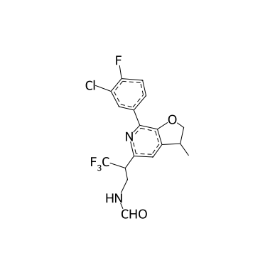 CC1COc2c1cc(C(CNC=O)C(F)(F)F)nc2-c1ccc(F)c(Cl)c1